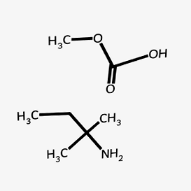 CCC(C)(C)N.COC(=O)O